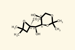 CC1(C)C[C@](C(=O)O)([C@H](O)[C@@H]2OC(C)(C)OC[C@@H]2O)O1